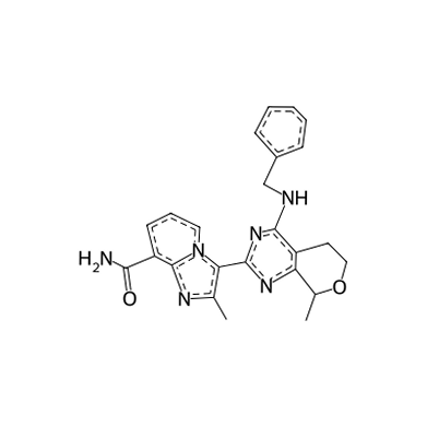 Cc1nc2c(C(N)=O)cccn2c1-c1nc(NCc2ccccc2)c2c(n1)C(C)OCC2